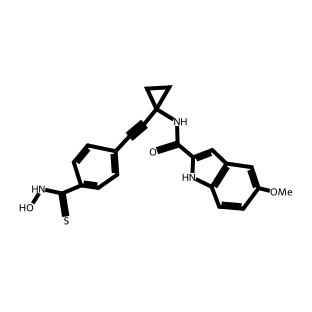 COc1ccc2[nH]c(C(=O)NC3(C#Cc4ccc(C(=S)NO)cc4)CC3)cc2c1